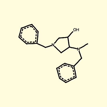 CN(Cc1ccccc1)C1CN(Cc2ccccc2)CC1O